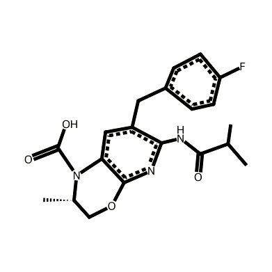 CC(C)C(=O)Nc1nc2c(cc1Cc1ccc(F)cc1)N(C(=O)O)[C@@H](C)CO2